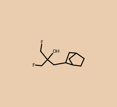 OC(CF)(CF)CC1CC2CCC1C2